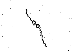 CCCCCCCOCCOc1ccc(-c2ccc(CCCCCCC)cn2)cc1